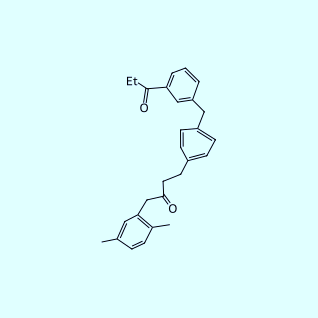 CCC(=O)c1cccc(Cc2ccc(CCC(=O)Cc3cc(C)ccc3C)cc2)c1